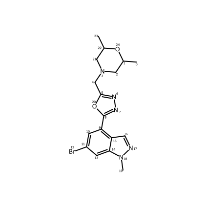 CC1CN(Cc2nnc(-c3cc(Br)cc4c3cnn4C)o2)CC(C)O1